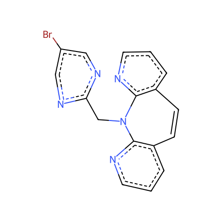 Brc1cnc(CN2c3ncccc3C=Cc3cccnc32)nc1